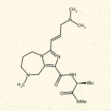 CNC(=O)[C@@H](NC(=O)c1nc(/C=C/CN(C)C)n2c1CN(C)CCC2)C(C)(C)C